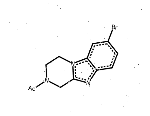 CC(=O)N1CCn2c(nc3ccc(Br)cc32)C1